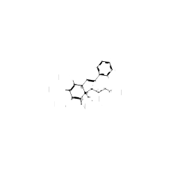 CC1=C(C)C(C=Cc2ccccc2)C(N)(CCCO)C(N)=C1C